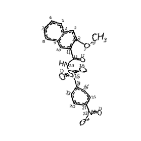 COc1cc2ccccc2cc1C(=O)NS(=O)(=O)c1ccc([N+](=O)[O-])cc1